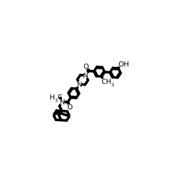 Cc1cc(C(=O)N2CCN(c3ccc(C(=O)N(C)CC45CC6CC(CC(C6)C4)C5)cc3)CC2)ccc1-c1cccc(O)c1